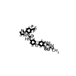 COC(=O)NC1Nc2ccc(Oc3ccc(NC(=O)Nc4cc(C(F)(F)F)ccc4-n4cccn4)cc3)cc2N1O